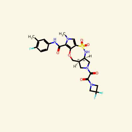 Cc1cc(NC(=O)c2c3c(cn2C)S(=O)(=O)N[C@H]2CN(C(=O)C(=O)N4CC(F)(F)C4)C[C@H]2CO3)ccc1F